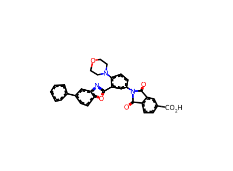 O=C(O)c1ccc2c(c1)C(=O)N(c1ccc(N3CCOCC3)c(-c3nc4cc(-c5ccccc5)ccc4o3)c1)C2=O